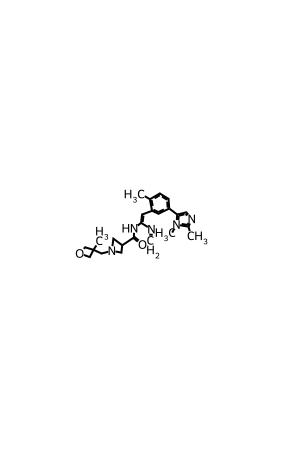 C=N/C(=C\c1cc(-c2cnc(C)n2C)ccc1C)NC(=O)C1CN(CC2(C)COC2)C1